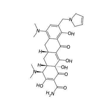 CN(C)c1cc(CN2CC=CC2)c(O)c2c1C[C@H]1C[C@H]3[C@H](N(C)C)C(O)=C(C(N)=O)C(=O)[C@]3(O)C(O)=C1C2=O